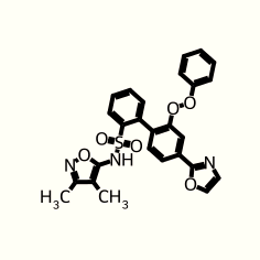 Cc1noc(NS(=O)(=O)c2ccccc2-c2ccc(-c3ncco3)cc2OOc2ccccc2)c1C